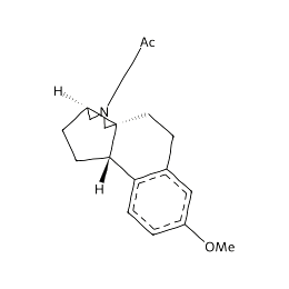 COc1ccc2c(c1)CC[C@]13CN(C(C)=O)C[C@H]1CC[C@@H]23